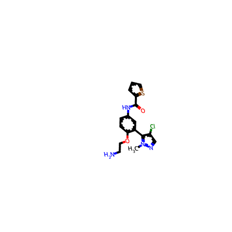 Cn1ncc(Cl)c1-c1cc(NC(=O)c2cccs2)ccc1OCCN